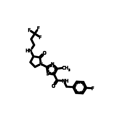 Cc1nc(N2CCC(NCCC(F)(F)F)C2=O)sc1C(=O)NCc1ccc(F)cc1